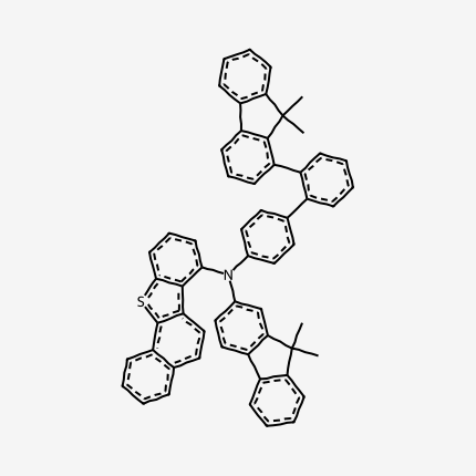 CC1(C)c2ccccc2-c2ccc(N(c3ccc(-c4ccccc4-c4cccc5c4C(C)(C)c4ccccc4-5)cc3)c3cccc4sc5c6ccccc6ccc5c34)cc21